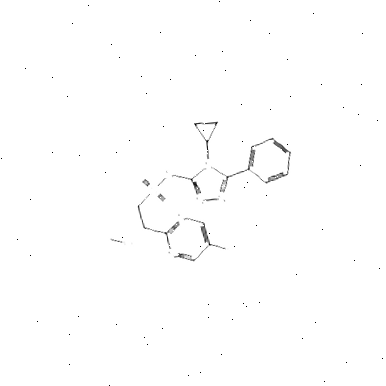 CC(C)O[C@@H](c1ncc(Cl)cn1)[C@H](C)S(=O)(=O)Nc1nnc(-c2ccccc2)n1C1CC1